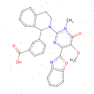 COc1c(-c2nc3ccccc3o2)nc(N2CCc3ccccc3C2c2cccc(C(=O)O)c2)n(C)c1=O